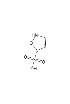 O=S(=O)(O)N1C=CNO1